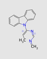 C=N/C=N\C(=C/C)n1c2ccccc2c2ccccc21